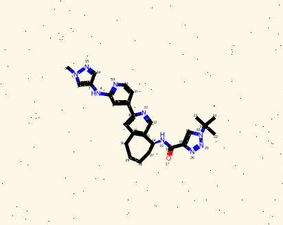 Cn1cc(Nc2cc(-c3cc4c(cn3)[C@@H](NC(=O)c3cn(C(C)(C)C)nn3)CCCC4)ccn2)cn1